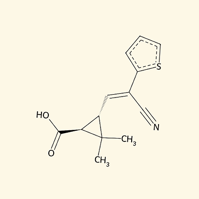 CC1(C)[C@@H](C=C(C#N)c2cccs2)[C@@H]1C(=O)O